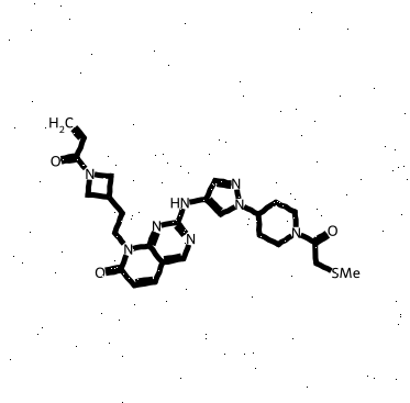 C=CC(=O)N1CC(CCn2c(=O)ccc3cnc(Nc4cnn(C5CCN(C(=O)CSC)CC5)c4)nc32)C1